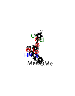 COc1ccc(CN(C(=O)C2=C(c3ccc(OCCOc4c(Cl)cc(C)cc4Cl)cc3)CCNC2)C2CC2)cc1OC.O=CO